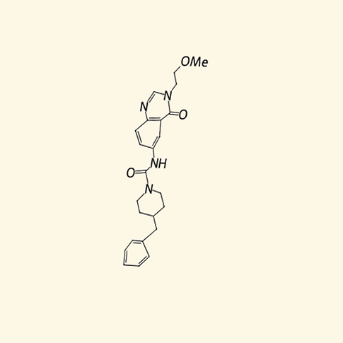 COCCn1cnc2ccc(NC(=O)N3CCC(Cc4ccccc4)CC3)cc2c1=O